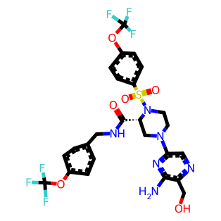 Nc1nc(N2CCN(S(=O)(=O)c3ccc(OC(F)(F)F)cc3)[C@@H](C(=O)NCc3ccc(OC(F)(F)F)cc3)C2)cnc1CO